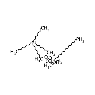 CC(=O)O.CC(=O)[O-].CCCCCCCCCCCCCCP.CCCCCCCC[P+](CCCCCCCC)(CCCCCCCC)CCCCCCCC